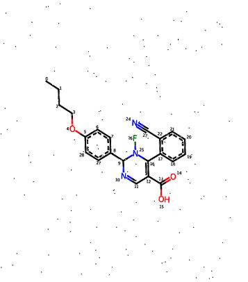 CCCCOc1ccc(C2N=CC(C(=O)O)=C(c3ccccc3C#N)N2F)cc1